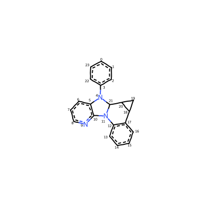 c1ccc(N2c3cccnc3N3c4ccccc4C4CC4C23)cc1